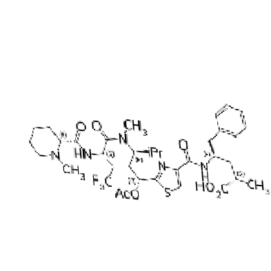 CC(=O)O[C@H](C[C@H](C(C)C)N(C)C(=O)[C@H](CC(F)(F)F)NC(=O)[C@H]1CCCCN1C)c1nc(C(=O)N[C@@H](Cc2ccccc2)C[C@H](C)C(=O)O)cs1